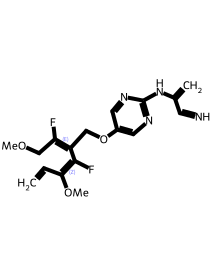 C=C/C(OC)=C(F)\C(COc1cnc(NC(=C)C=N)nc1)=C(\F)COC